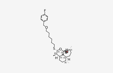 C[C@H]1[C@H](SCCCCCCOCc2ccc(F)cc2)O[C@@H]2O[C@]3(C)CC[C@H]4[C@H](C)CC[C@@H]1[C@@]24OO3